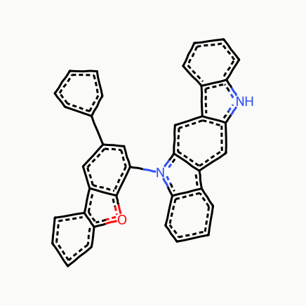 c1ccc(-c2cc(-n3c4ccccc4c4cc5[nH]c6ccccc6c5cc43)c3oc4ccccc4c3c2)cc1